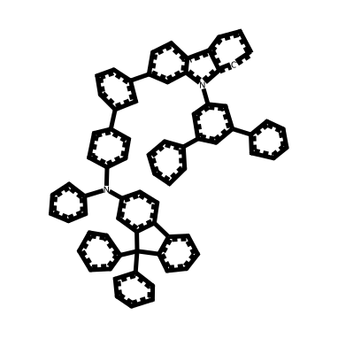 c1ccc(-c2cc(-c3ccccc3)cc(-n3c4ccccc4c4ccc(-c5cccc(-c6ccc(N(c7ccccc7)c7ccc8c(c7)C(c7ccccc7)(c7ccccc7)c7ccccc7-8)cc6)c5)cc43)c2)cc1